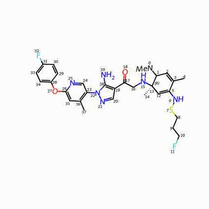 CNC1C=C(C)C(NSCCCF)=C[C@@]1(C)NCC(=O)c1cnn(-c2cnc(Oc3ccc(F)cc3)cc2C)c1N